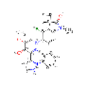 COc1cn(-c2ccc3c(c2F)C2(CCC2)C(=O)N3C)nc(-c2ccnn2-c2ccccc2)c1=O